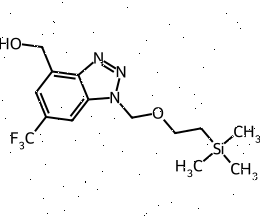 C[Si](C)(C)CCOCn1nnc2c(CO)cc(C(F)(F)F)cc21